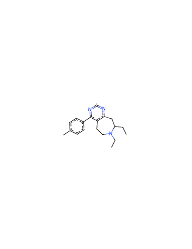 CCC1Cc2n[c]nc(-c3ccc(C)cc3)c2CCN1CC